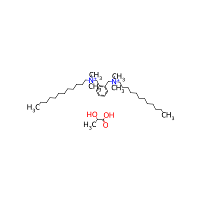 CC(O)C(=O)O.CCCCCCCCCCCC[N+](C)(C)Cc1ccccc1C[N+](C)(C)CCCCCCCCCCCC